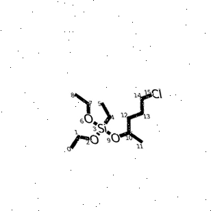 CCO[Si](CC)(OCC)OC(C)CCCCl